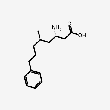 C[C@H](CCCc1ccccc1)C[C@H](N)CC(=O)O